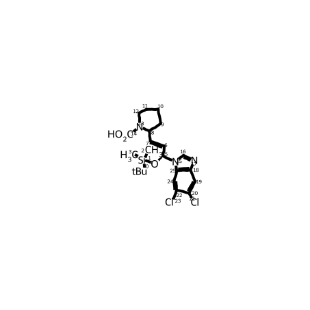 CC(C)(C)[Si](C)(C)O[C@@H](/C=C/C1CCCCN1C(=O)O)n1cnc2cc(Cl)c(Cl)cc21